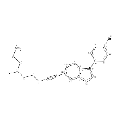 CC(CCN)CCCC#Cc1ccc2c(ccn2-c2ccc(Br)cc2)c1